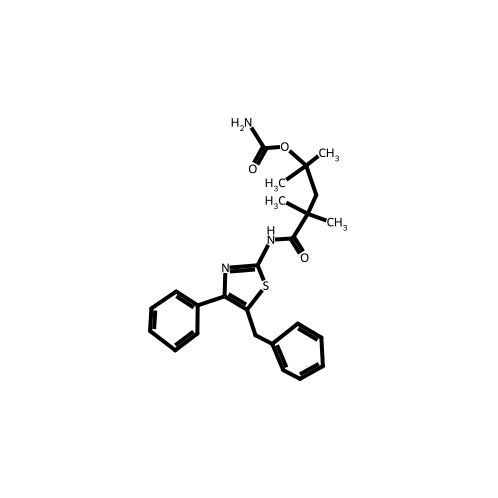 CC(C)(CC(C)(C)C(=O)Nc1nc(-c2ccccc2)c(Cc2ccccc2)s1)OC(N)=O